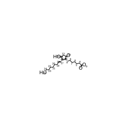 COC(=O)CCCCCC[C@H]1C(=O)C[C@@H](O)[C@H]1C=CCCCCCCO